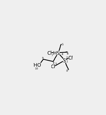 CS(Cl)(Cl)[SH](C)(C)(Cl)CCO